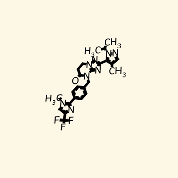 Cc1cnn(C(C)C)c1-c1nc2n(n1)CCC(=O)N2Cc1ccc(-c2nc(C(F)(F)F)cn2C)cc1